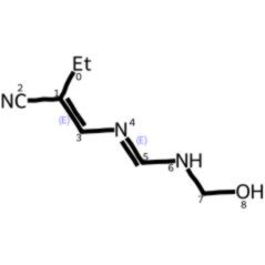 CC/C(C#N)=C\N=C\NCO